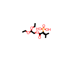 CCOC(COC(=O)C(=C(C)C)P(=O)(O)O)OCC